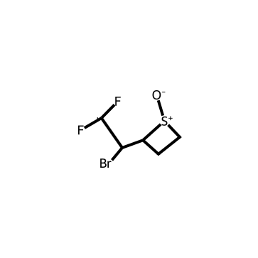 [O-][S+]1CCC1C(Br)[C](F)F